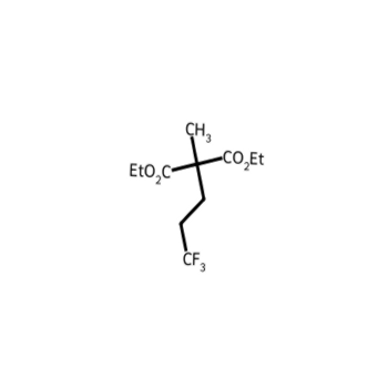 CCOC(=O)C(C)(CCC(F)(F)F)C(=O)OCC